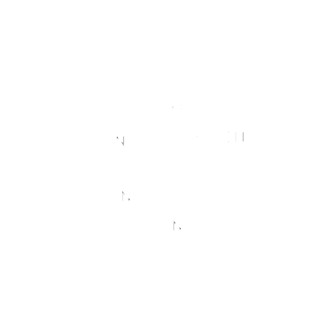 O=C(O)c1cncn2ccnc12